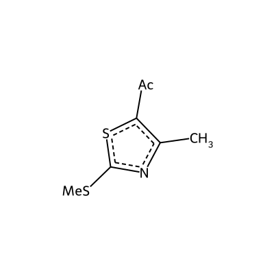 CSc1nc(C)c(C(C)=O)s1